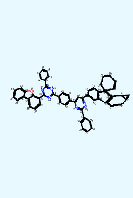 C1=CC2=C(C3C=C13)C1(CCCCC1)c1ccc(-c3cc(-c4ccc(-c5nc(-c6ccccc6)nc(-c6cccc7c6oc6ccccc67)n5)cc4)nc(-c4ccccc4)n3)cc12